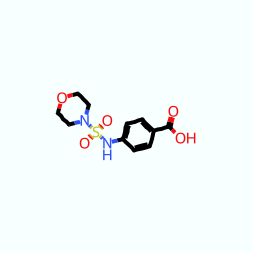 O=C(O)c1ccc(NS(=O)(=O)N2CCOCC2)cc1